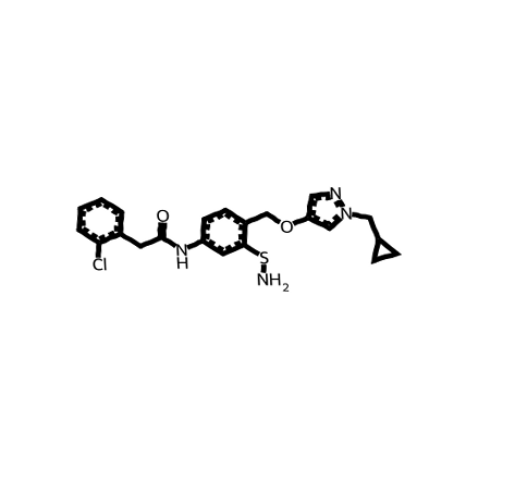 NSc1cc(NC(=O)Cc2ccccc2Cl)ccc1COc1cnn(CC2CC2)c1